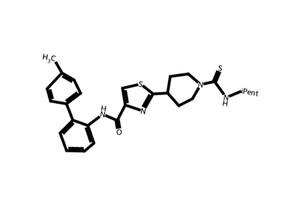 CCCC(C)NC(=S)N1CCC(c2nc(C(=O)Nc3ccccc3-c3ccc(C)cc3)cs2)CC1